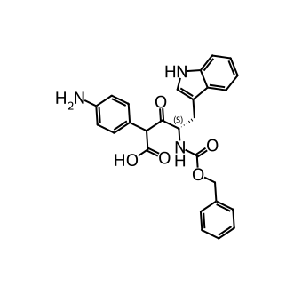 Nc1ccc(C(C(=O)O)C(=O)[C@H](Cc2c[nH]c3ccccc23)NC(=O)OCc2ccccc2)cc1